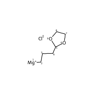 [Cl-].[Mg+][CH2]CCC1OCCO1